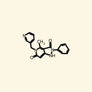 Cc1c2c(=O)n(-c3ccccc3)[nH]c2cc(=O)n1Cc1cccnc1